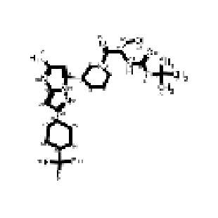 Cc1cc([C@@H]2CCCN(C(=O)[C@H](CO)NC(=O)OC(C)(C)C)C2)n2nc([C@H]3CC[C@H](C(F)(F)F)CC3)cc2n1